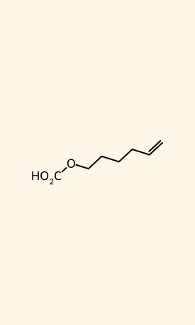 C=CCCCCOC(=O)O